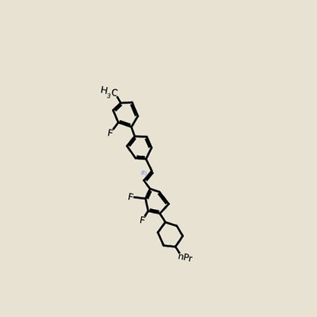 CCCC1CCC(c2ccc(/C=C/c3ccc(-c4ccc(C)cc4F)cc3)c(F)c2F)CC1